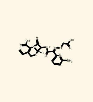 C=CC1=C(C(=O)O)N2C(=O)C(NC(=O)C(=NOCC(=O)O)c3cccc(N)n3)[C@@H]2SC1